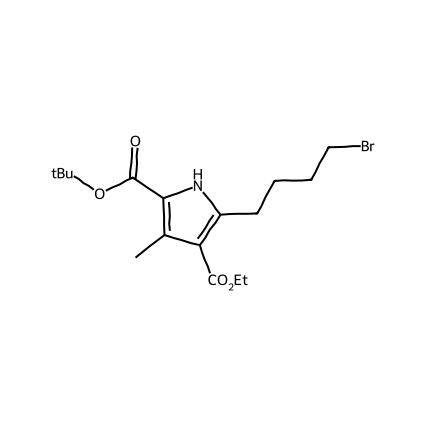 CCOC(=O)c1c(CCCCBr)[nH]c(C(=O)OC(C)(C)C)c1C